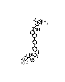 COC(O)N[C@H](C(=O)N1CCC[C@H]1c1nc2ccc3cc(-c4ccc(-c5ccc6c(ccc7nc(C(CCCN)C[C@@H](NC=O)C(C)C)[nH]c76)c5)cc4)ccc3c2[nH]1)C(C)C